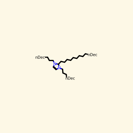 CCCCCCCCCCCCCCCCCCCC1N(CCCCCCCCCCCCC)C=CN1CCCCCCCCCCCCC